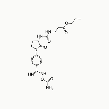 CCCOC(=O)CCNC(=O)N[C@H]1CCN(c2ccc(C(=N)NOC(N)=O)cc2)C1=O